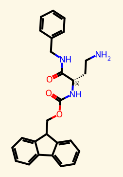 NCC[C@H](NC(=O)OCC1c2ccccc2-c2ccccc21)C(=O)NCc1ccccc1